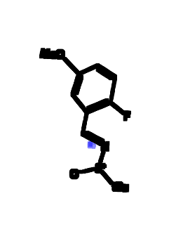 COc1ccc(F)c(/C=N/[S+]([O-])C(C)(C)C)c1